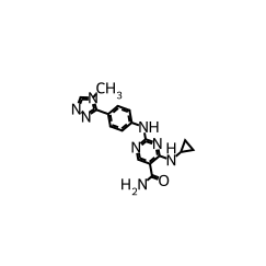 Cn1cnnc1-c1ccc(Nc2ncc(C(N)=O)c(NC3CC3)n2)cc1